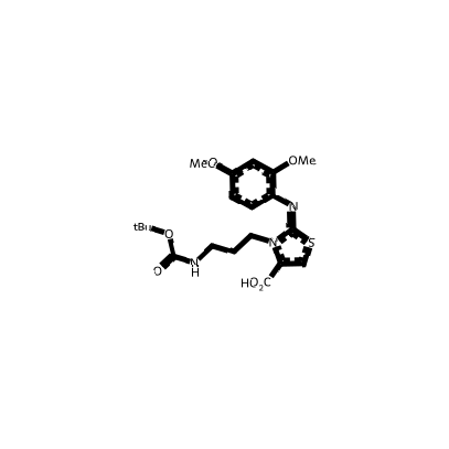 COc1ccc(N=c2scc(C(=O)O)n2CCCNC(=O)OC(C)(C)C)c(OC)c1